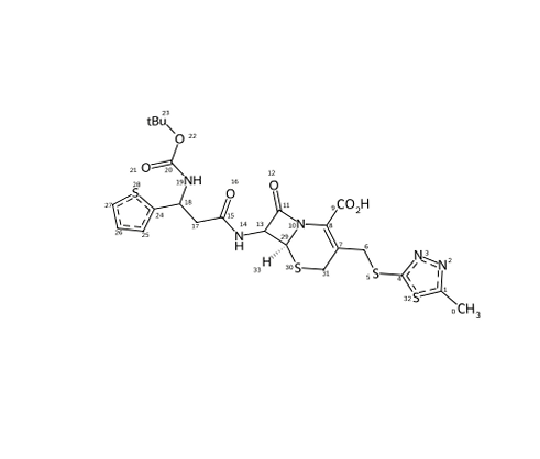 Cc1nnc(SCC2=C(C(=O)O)N3C(=O)C(NC(=O)CC(NC(=O)OC(C)(C)C)c4cccs4)[C@@H]3SC2)s1